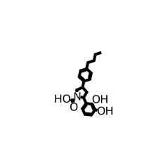 CCCCc1ccc(C2CC(c3cccc(O)c3O)N(C(=O)O)C2)cc1